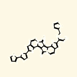 CC/C=C(\SCc1cccs1)c1cc2c(s1)C1=C3C(=O)N4C=Cc5cc(-c6ccc(-c7cccs7)s6)sc5C4=C3C(=O)N1C=C2